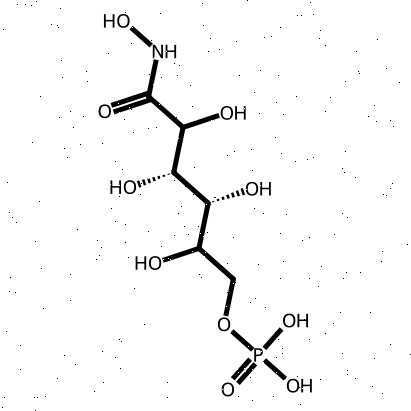 O=C(NO)C(O)[C@@H](O)[C@H](O)C(O)COP(=O)(O)O